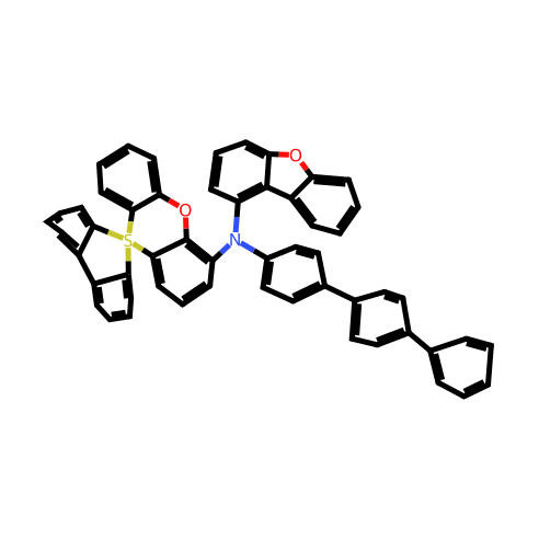 c1ccc(-c2ccc(-c3ccc(N(c4cccc5c4Oc4ccccc4S54c5ccccc5-c5ccccc54)c4cccc5oc6ccccc6c45)cc3)cc2)cc1